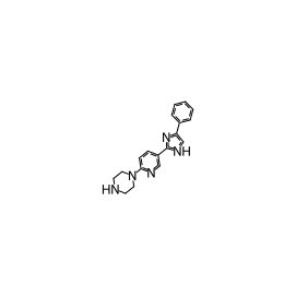 c1ccc(-c2c[nH]c(-c3ccc(N4CCNCC4)nc3)n2)cc1